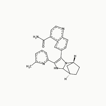 Cc1cccc(C2=C(c3ccc4nccc(C(N)=O)c4c3)N3C(N2)[C@@H]2CC[C@@H]3C2)n1